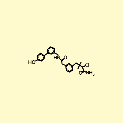 CC(C)(Cc1cccc(CC(=O)NCc2cccc(-c3ccc(O)cc3)c2)c1)C(Cl)C(N)=O